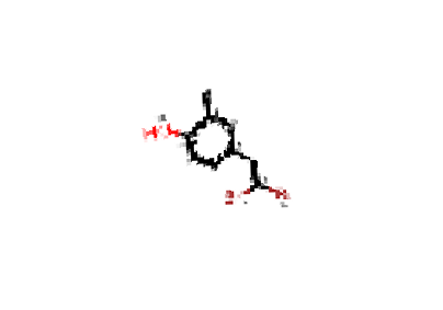 Cc1cc(C=C(Br)Br)ccc1O